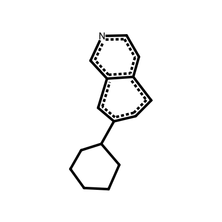 c1cc2ccc(C3CCCCC3)cc2cn1